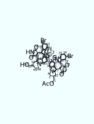 CC(=O)OCC1CCn2c(c(C3=C(c4cn(C)c5ccc(Br)cc45)C(=O)OC3=O)c3ccccc32)C1.Cn1cc(C2=C(c3c4n(c5ccccc35)CCC(CO)C4)C(=O)NC2=O)c2cc(Br)ccc21